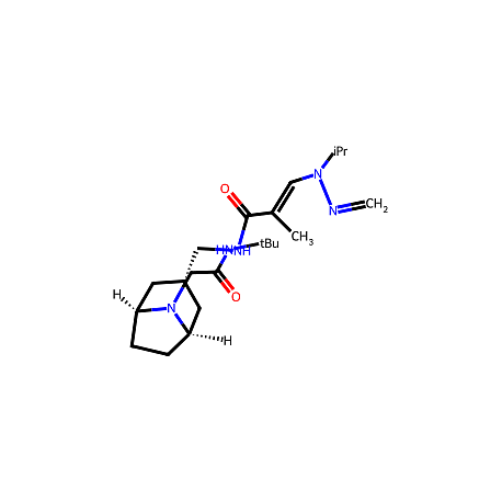 C=NN(/C=C(\C)C(=O)NC[C@@H]1C[C@H]2CC[C@@H](C1)N2CC(=O)NC(C)(C)C)C(C)C